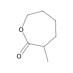 CC1CCCCOC1=O